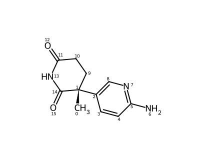 C[C@]1(c2ccc(N)nc2)CCC(=O)NC1=O